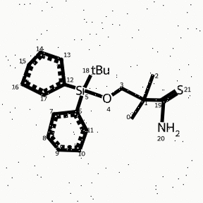 CC(C)(CO[Si](c1ccccc1)(c1ccccc1)C(C)(C)C)C(N)=S